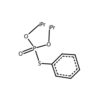 CC(C)OP(=O)(OC(C)C)Sc1ccccc1